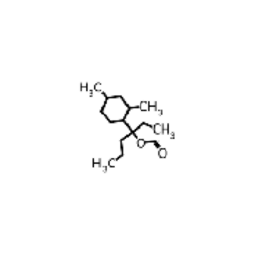 CCCC(CC)(O[C]=O)C1CCC(C)CC1C